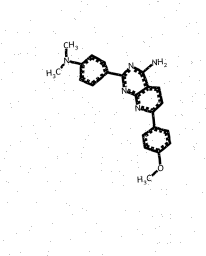 COc1ccc(-c2ccc3c(N)nc(-c4ccc(N(C)C)cc4)nc3n2)cc1